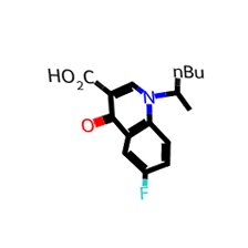 CCCCC(C)n1cc(C(=O)O)c(=O)c2cc(F)ccc21